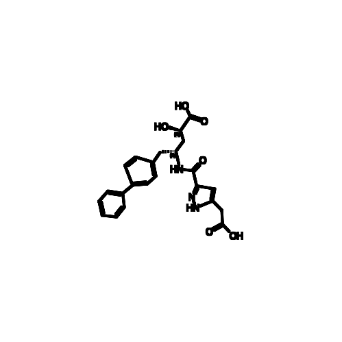 O=C(O)Cc1cc(C(=O)N[C@H](Cc2ccc(-c3ccccc3)cc2)C[C@@H](O)C(=O)O)n[nH]1